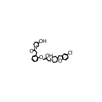 O=C(Cc1ccccc1OC[C@@H](O)CN1CCC2(CC1)Cc1cc(Cl)ccc1O2)N1CC[C@H](O)C1